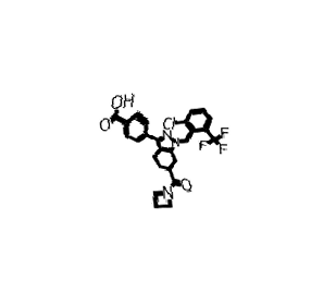 O=C(O)c1ccc(-c2nn(Cc3c(Cl)cccc3C(F)(F)F)c3c2CCC(C(=O)N2CCC2)C3)cc1